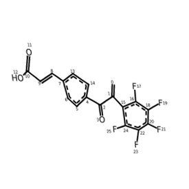 C=C(C(=O)c1ccc(C=CC(=O)O)cc1)c1c(F)c(F)c(F)c(F)c1F